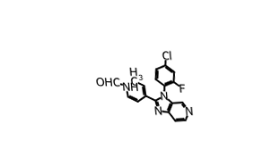 C/C=C(\C=C/NC=O)c1nc2ccncc2n1-c1ccc(Cl)cc1F